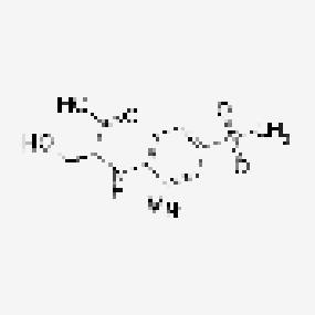 CS(=O)(=O)c1ccc(N[C@@H](CO)C(=O)O)cc1.[Mg]